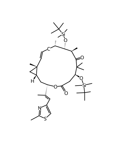 C/C(=C\c1csc(C)n1)[C@@H]1C[C@@H]2C[C@]2(C)/C=C/C[C@H](C)[C@H](O[Si](C)(C)C(C)(C)C)[C@@H](C)C(=O)C(C)(C)[C@@H](O[Si](C)(C)C(C)(C)C)CC(=O)O1